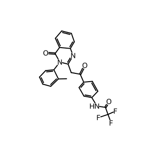 Cc1ccccc1-n1c(CC(=O)c2ccc(NC(=O)C(F)(F)F)cc2)nc2ccccc2c1=O